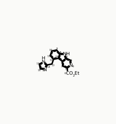 CCOC(=O)c1cc2c(cn1)[nH]c1cccc(Cc3ncc[nH]3)c12